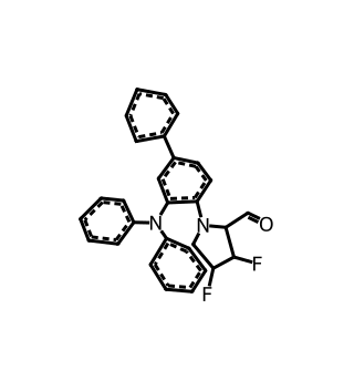 O=CC1C(F)C(F)CN1c1ccc(-c2ccccc2)cc1N(c1ccccc1)c1ccccc1